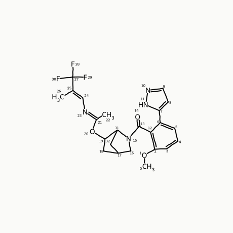 COc1cccc(-c2ccn[nH]2)c1C(=O)N1CC2CC(O/C(C)=N/C=C(\C)C(F)(F)F)C1C2